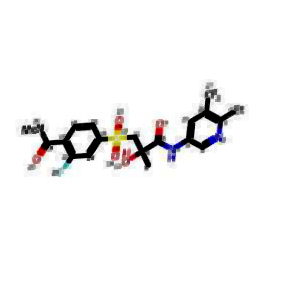 CCc1ncc(NC(=O)C(C)(O)CS(=O)(=O)c2ccc(C(=O)NC)c(F)c2)cc1C(F)(F)F